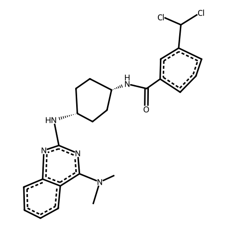 CN(C)c1nc(N[C@H]2CC[C@@H](NC(=O)c3cccc(C(Cl)Cl)c3)CC2)nc2ccccc12